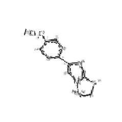 O=C(O)c1ccc(-c2cn3c(n2)SCN3)cc1